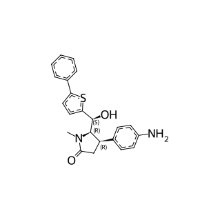 CN1C(=O)C[C@H](c2ccc(N)cc2)[C@@H]1[C@H](O)c1ccc(-c2ccccc2)s1